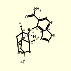 NC(=O)c1cnc2[nH]ccc2c1N[C@H]1[C@@H]2CC3C[C@H]1C[C@](F)(C3)C2